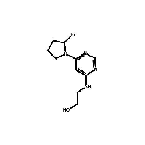 OCCNc1cc(N2CCCC2Br)ncn1